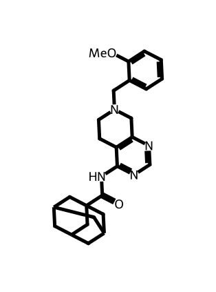 COc1ccccc1CN1CCc2c(ncnc2NC(=O)C23CC4CC(CC(C4)C2)C3)C1